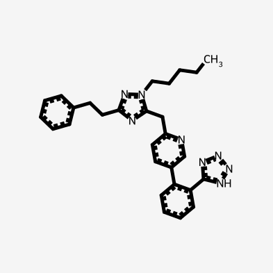 CCCCCn1nc(CCc2ccccc2)nc1Cc1ccc(-c2ccccc2-c2nnn[nH]2)cn1